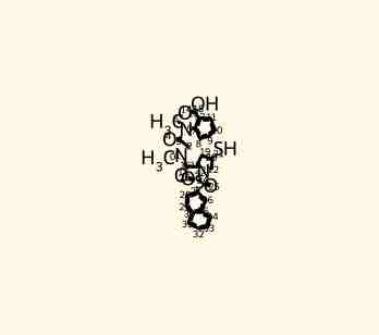 CN(CC(=O)N(C)c1ccccc1C(=O)O)C(=O)C1CC(S)CN1S(=O)(=O)c1ccc2ccccc2c1